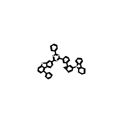 C1=Cc2c(n(C3=CC4(c5cccc(-c6nc(-c7ccccc7)nc(-c7ccc8c(c7)oc7cccc(-c9ccccc9)c78)n6)c5)CC4C=C3)c3ccccc23)CC1